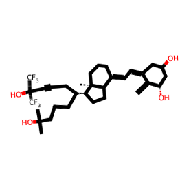 C=C1/C(=C\C=C2/CCC[C@@]3(C)C2CC[C@@H]3C(CC#CC(O)(C(F)(F)F)C(F)(F)F)CCCC(C)(C)O)CC(O)C[C@@H]1O